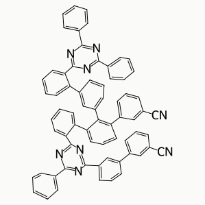 N#Cc1cccc(-c2cccc(-c3nc(-c4ccccc4)nc(-c4ccccc4-c4cccc(-c5cccc(C#N)c5)c4-c4cccc(-c5ccccc5-c5nc(-c6ccccc6)nc(-c6ccccc6)n5)c4)n3)c2)c1